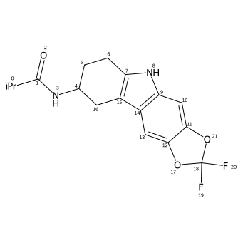 CC(C)C(=O)NC1CCc2[nH]c3cc4c(cc3c2C1)OC(F)(F)O4